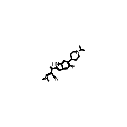 C=C(/C(C#N)=C/N(C)C)c1cc2cc(F)c(C3CCN(C(C)C)CC3)cc2[nH]1